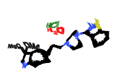 COC1(OC)C=Nc2ccc(CCN3CCN(c4nsc5ccccc45)CC3)cc21.Cl.O